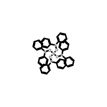 c1ccc(N(O[Si](ON(c2ccccc2)c2ccccc2)(ON(c2ccccc2)c2ccccc2)ON(c2ccccc2)c2ccccc2)c2ccccc2)cc1